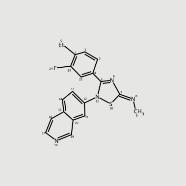 CCc1ccc(-c2nc(=NC)sn2-c2ccc3ccncc3c2)cc1F